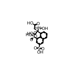 O=C(O)C[C@](NO)(C(=O)O)c1cccc2cc(S(=O)(=O)O)cc(S(=O)(=O)O)c12